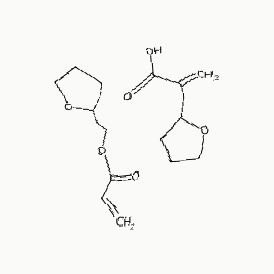 C=C(C(=O)O)C1CCCO1.C=CC(=O)OCC1CCCO1